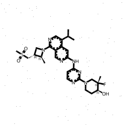 CC(C)c1cnc(N2C[C@@H](CS(C)(=O)=O)[C@@H]2C)c2cnc(Nc3ccnc(N4CC[C@H](O)[C@@](C)(F)C4)n3)cc12